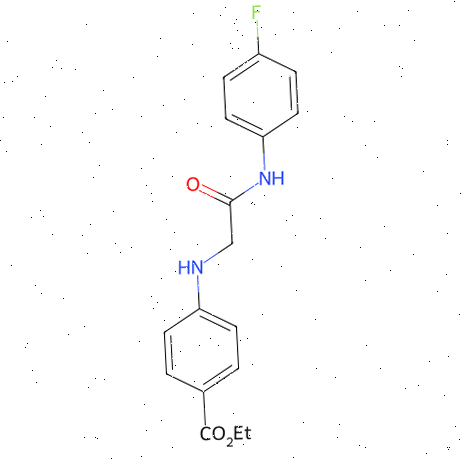 CCOC(=O)c1ccc(NCC(=O)Nc2ccc(F)cc2)cc1